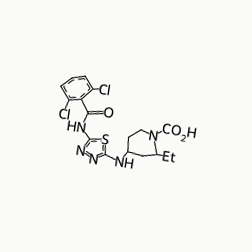 CCC1CC(Nc2nnc(NC(=O)c3c(Cl)cccc3Cl)s2)CCN1C(=O)O